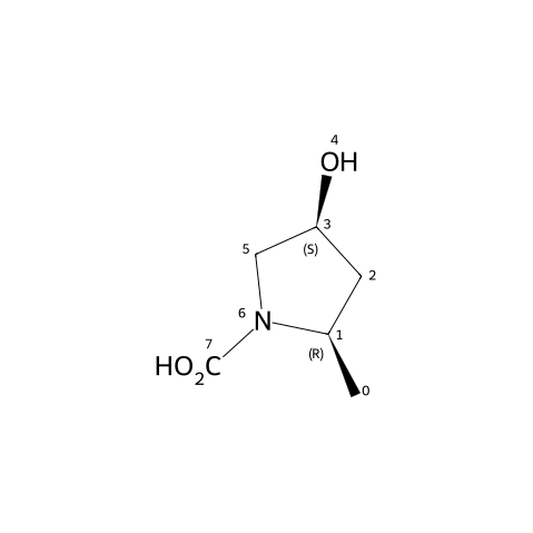 C[C@@H]1C[C@H](O)CN1C(=O)O